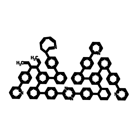 C=C/C(=C(\C=C)c1cc(-c2ccccc2-c2ccc(-c3cnc(-c4ccc(C5C=CC=CC5c5cc(-c6ccccc6-c6ccc(-c7ccccn7)cc6)cc(-c6ccccc6-c6ccc(-c7ccccn7)cc6)c5)cc4)cn3)cc2)cc(-c2ccccc2-c2ccc(C3/C=N/C=C\C=C/C3)cc2)c1)c1ccc(-c2ccccn2)cc1